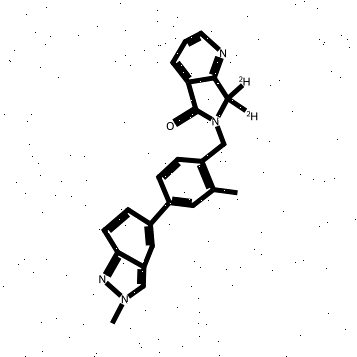 [2H]C1([2H])c2ncccc2C(=O)N1Cc1ccc(-c2ccc3nn(C)cc3c2)cc1C